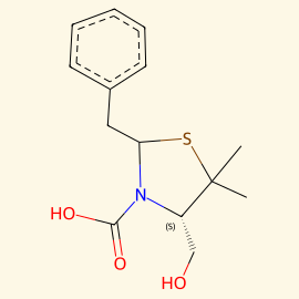 CC1(C)SC(Cc2ccccc2)N(C(=O)O)[C@H]1CO